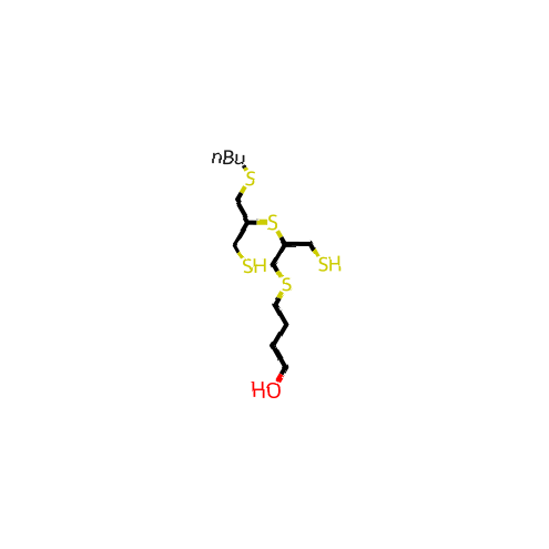 CCCCSCC(CS)SC(CS)CSCCCCO